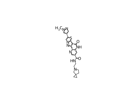 Cn1cc(-c2cn3nc4c5ncc(C(=O)NCCN6CCC7(CC7)C6)cc5[nH]c(=O)c4c3s2)cn1